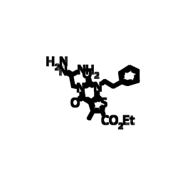 CCOC(=O)c1sc2c(c1C)c(=O)n(C/C(N)=N/N)c(=O)n2CCc1ccccc1